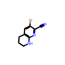 N#Cc1nc2c(cc1Br)CCCN2